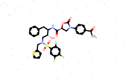 CC(=O)c1ccc(N2C[C@@H](C(=O)NC(Cc3ccccc3)[C@H](O)CN(Cc3cccs3)S(=O)(=O)c3cc(F)c(F)cc3F)OC2=O)cc1